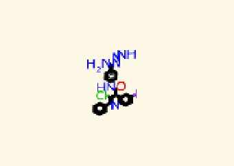 N=N/N=C(\N)C12CCC(NC(=O)c3c(Cl)c(-c4ccccc4)nc4ccc(I)cc34)(CC1)CC2